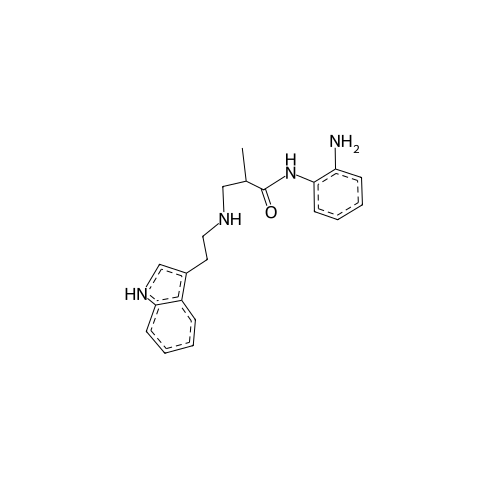 CC(CNCCc1c[nH]c2ccccc12)C(=O)Nc1ccccc1N